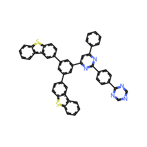 c1ccc(-c2cc(-c3cc(-c4ccc5sc6ccccc6c5c4)cc(-c4ccc5sc6ccccc6c5c4)c3)nc(-c3ccc(-c4ncncn4)cc3)n2)cc1